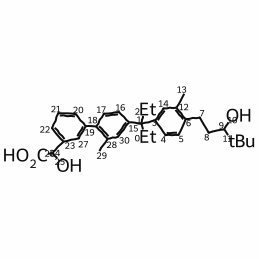 CCC(CC)(c1ccc(CCC(O)C(C)(C)C)c(C)c1)c1ccc(-c2cccc(C(O)C(=O)O)c2)c(C)c1